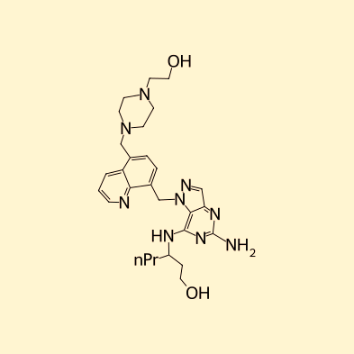 CCCC(CCO)Nc1nc(N)nc2cnn(Cc3ccc(CN4CCN(CCO)CC4)c4cccnc34)c12